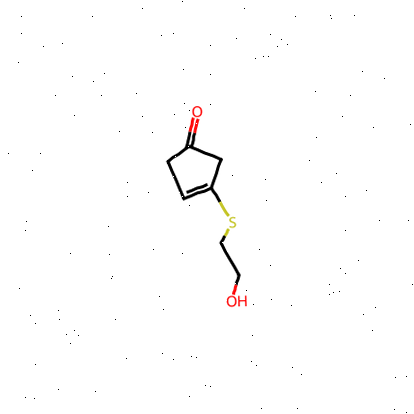 O=C1CC=C(SCCO)C1